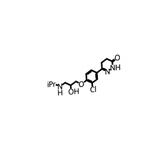 CC(C)NCC(O)COc1ccc(C2=NNC(=O)CC2)cc1Cl